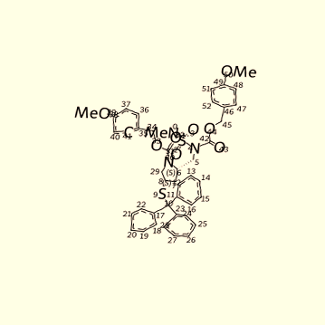 CNS(=O)(=O)N(C[C@@H]1C[C@H](SC(c2ccccc2)(c2ccccc2)c2ccccc2)CN1C(=O)OCc1ccc(OC)cc1)C(=O)OCc1ccc(OC)cc1